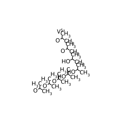 CC(C)O.CC(C)O.CC(C)O.CC(C)[O-].CC(C)[O-].CC(C)[O-].CC(C)[O-].CC(C)[O-].[V+5]